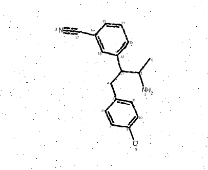 CC(N)C(Cc1ccc(Cl)cc1)c1cccc(C#N)c1